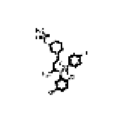 CC(CCN1CCC[C@@H](CS(C)(=O)=O)C1)N(c1cc(Cl)ccc1Cl)S(=O)(=O)c1ccc(Cl)cc1